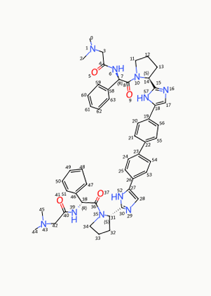 CN(C)CC(=O)N[C@@H](C(=O)N1CCC[C@H]1c1ncc(-c2ccc(-c3ccc(-c4cnc([C@@H]5CCCN5C(=O)[C@H](NC(=O)CN(C)C)c5ccccc5)[nH]4)cc3)cc2)[nH]1)c1ccccc1